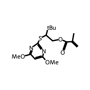 C=C(C)C(=O)OCC(Sc1nc(OC)cc(OC)n1)C(C)(C)C